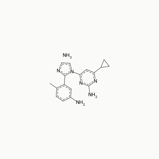 Cc1ccc(N)cc1-c1nccn1-c1cc(C2CC2)nc(N)n1.N